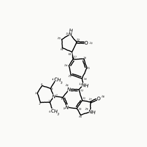 CC1CCCC(C)N1c1nc2c(c(Nc3ccc([C@H]4CCNC4=O)cc3)n1)C(=O)NC2